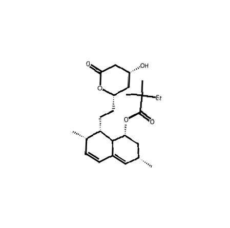 CCC(C)(C)C(=O)O[C@@H]1C[C@H](C)C=C2C=C[C@H](C)[C@H](CC[C@H]3C[C@@H](O)CC(=O)O3)C21